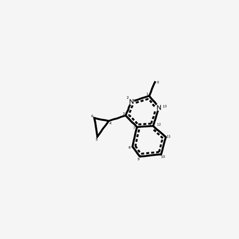 [CH2]c1nc(C2CC2)c2ccccc2n1